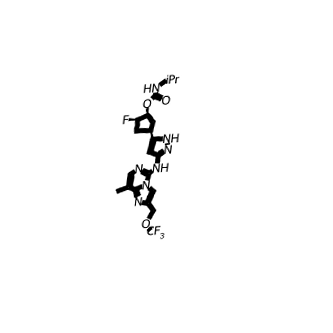 Cc1cnc(Nc2cc([C@H]3C[C@@H](F)[C@@H](OC(=O)NC(C)C)C3)[nH]n2)n2cc(COC(F)(F)F)nc12